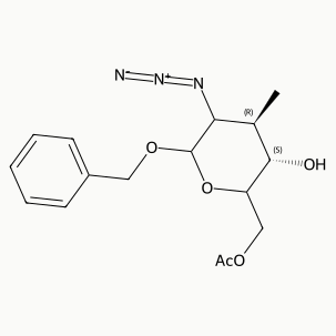 CC(=O)OCC1OC(OCc2ccccc2)C(N=[N+]=[N-])[C@@H](C)[C@@H]1O